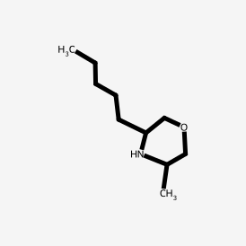 CCCCCC1COCC(C)N1